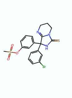 CS(=O)(=O)Oc1cccc(C2(c3cccc(Br)c3)NC(=S)N3CCCN=C32)c1